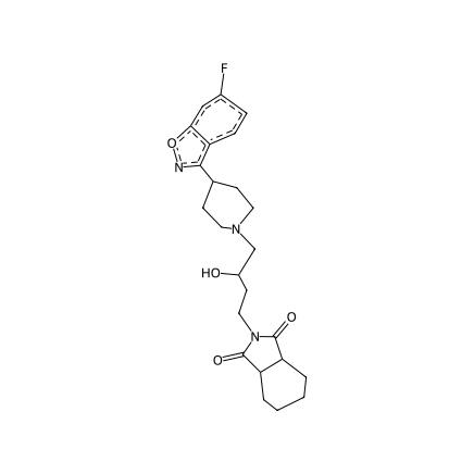 O=C1C2CCCCC2C(=O)N1CCC(O)CN1CCC(c2noc3cc(F)ccc23)CC1